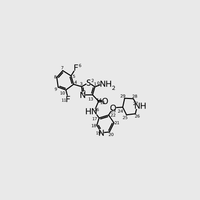 Nc1sc(-c2c(F)cccc2F)nc1C(=O)Nc1cnccc1OC1CCNCC1